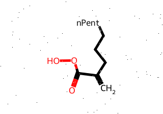 C=C(CCCCCCCC)C(=O)OO